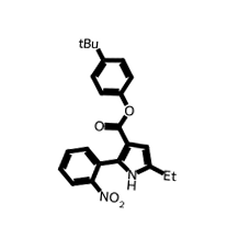 CCc1cc(C(=O)Oc2ccc(C(C)(C)C)cc2)c(-c2ccccc2[N+](=O)[O-])[nH]1